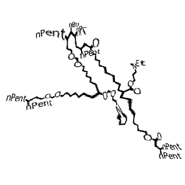 CCCCCC(CCCCC)CCOCOCCCCCCCC(CCCCCCCOCOCCC(CCCCC)C(CCCC)C(CCC)CC(CCCCC)CC(=O)OCCCCCCCCCCC(CCCCCCCCOC(=O)CC(CCCCC)CCCCC)C(=O)OCCCN(C)CC)OCOCCN1CCCC1